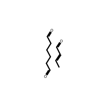 CC=CC=O.O=CCCCCC=O